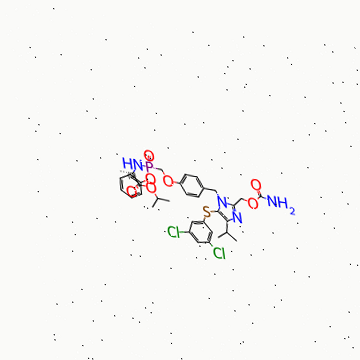 CC(C)OC(=O)[C@H](C)NP(=O)(COc1ccc(Cn2c(COC(N)=O)nc(C(C)C)c2Sc2cc(Cl)cc(Cl)c2)cc1)Oc1ccccc1